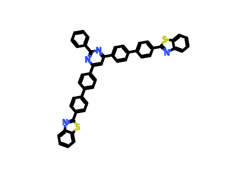 c1ccc(-c2nc(-c3ccc(-c4ccc(-c5nc6ccccc6s5)cc4)cc3)cc(-c3ccc(-c4ccc(-c5nc6ccccc6s5)cc4)cc3)n2)cc1